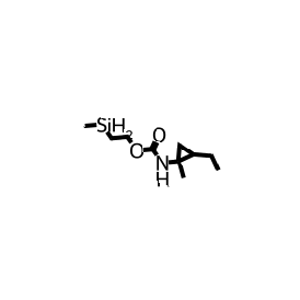 CCC1CC1(C)NC(=O)OCC[SiH2]C